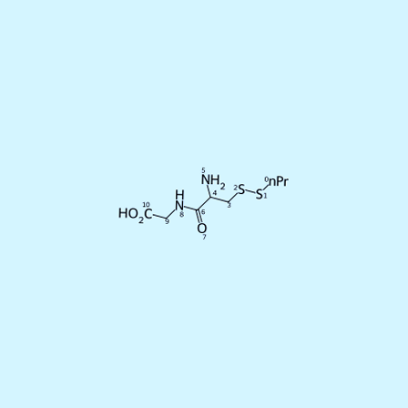 CCCSSCC(N)C(=O)NCC(=O)O